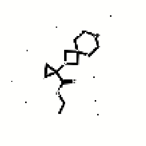 CCOC(=O)C1(N2CC3(CCNCC3)C2)CC1